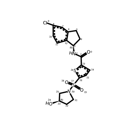 O=C(N[C@@H]1CCc2cc(Cl)ccc21)c1ccc(S(=O)(=O)N2CC[C@@H](O)C2)s1